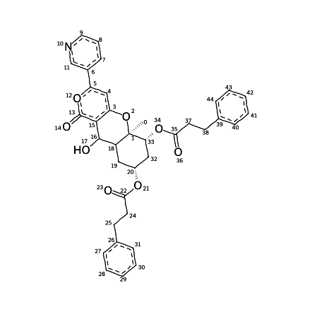 C[C@@]12Oc3cc(-c4cccnc4)oc(=O)c3C(O)C1C[C@@H](OC(=O)CCc1ccccc1)C[C@H]2OC(=O)CCc1ccccc1